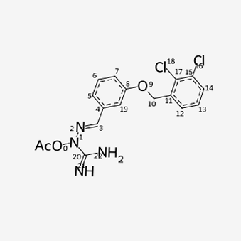 CC(=O)ON(N=Cc1cccc(OCc2cccc(Cl)c2Cl)c1)C(=N)N